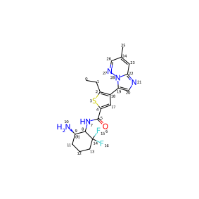 CCc1sc(C(=O)NC2[C@H](N)CCCC2(F)F)cc1-c1cnc2cc(C)cnn12